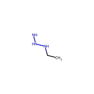 CCNN[NH]